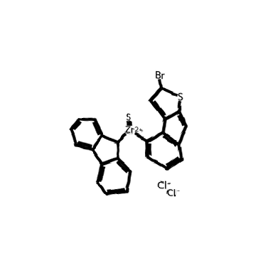 [Cl-].[Cl-].[S]=[Zr+2]([c]1cccc2c1C1=CC(Br)SC1=C2)[CH]1c2ccccc2-c2ccccc21